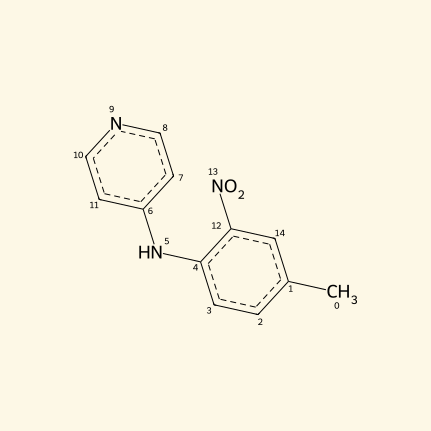 Cc1ccc(Nc2ccncc2)c([N+](=O)[O-])c1